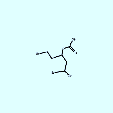 O=C(O)OC(CCBr)CC(Br)Br